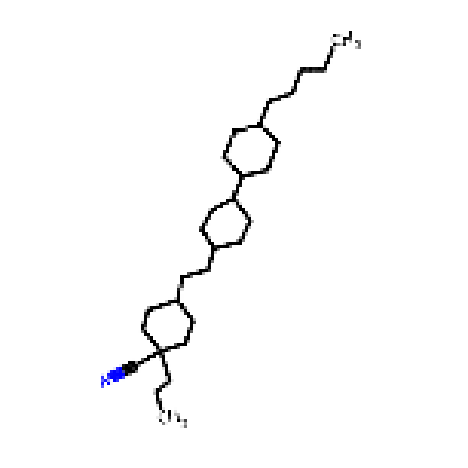 CCCCCC1CCC(C2CCC(CCC3CCC(C#N)(CCC)CC3)CC2)CC1